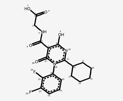 O=C(O)CNC(=O)c1c(O)nc(C2CCCCC2)n(-c2cccc(F)c2F)c1=O